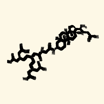 C[C@H](CCC(=O)O)[C@H]1CC[C@H]2[C@@H]3CC[C@@H]4C[C@@H](NC(=O)CNC(=O)CN(CCN(CC(=O)O)CC(=O)O)CCN(CC(=O)O)CC(=O)O)CC[C@]4(C)[C@H]3CC[C@]12C